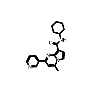 Cc1cc(-c2cccnc2)nc2c(C(=O)NC3CCCCC3)ccn12